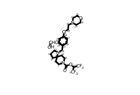 O=C(OC(C(F)(F)F)C(F)(F)F)N1CCC2(CCCN2Cc2ccc(OCCN3CCOCC3)cc2)CC1.O=CO